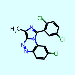 Cc1nc(-c2cc(Cl)ccc2Cl)n2c1nnc1ccc(Cl)cc12